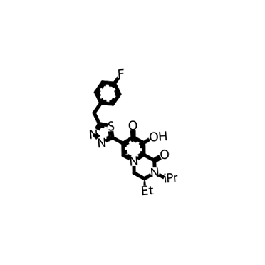 CC[C@H]1Cn2cc(-c3nnc(Cc4ccc(F)cc4)s3)c(=O)c(O)c2C(=O)N1C(C)C